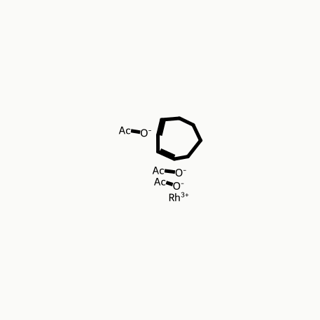 C1=C\CCCC\C=C/1.CC(=O)[O-].CC(=O)[O-].CC(=O)[O-].[Rh+3]